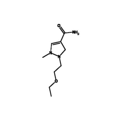 CCOCCN1CC(C(N)=O)=CN1C